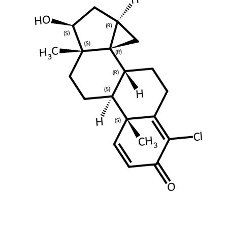 C[C@]12C=CC(=O)C(Cl)=C1CC[C@@H]1[C@@H]2CC[C@]2(C)[C@@H](O)C[C@H]3C[C@@]312